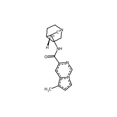 Cc1ccn2cnc(C(=O)N[C@H]3CN4CCC3CC4)cc12